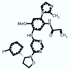 C=CC(=O)Nc1cc(Nc2cc(N3OCC[C@@H]3c3cccc(F)c3)ncn2)c(OC)cc1-n1ccnc1C